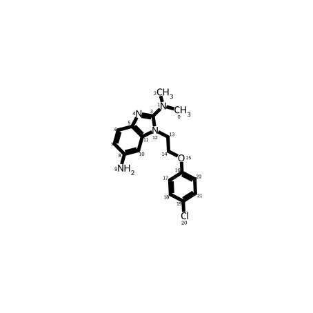 CN(C)c1nc2ccc(N)cc2n1CCOc1ccc(Cl)cc1